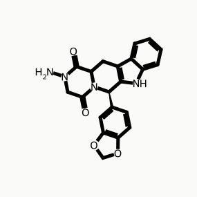 NN1CC(=O)N2C(Cc3c([nH]c4ccccc34)[C@H]2c2ccc3c(c2)OCO3)C1=O